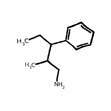 CCC(c1ccccc1)C(C)CN